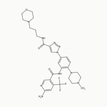 CN1CCN(c2ccc(-n3cc(C(=O)NCCCN4CCOCC4)nn3)cc2NC(=O)c2cnc(N)cc2C(F)(F)F)CC1